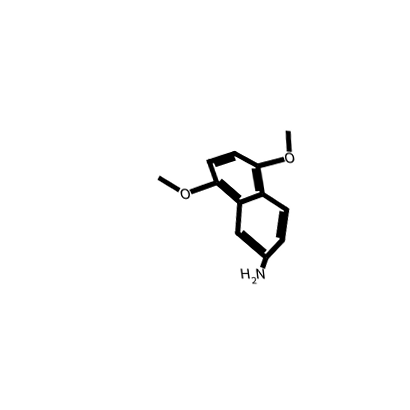 COc1ccc(OC)c2cc(N)ccc12